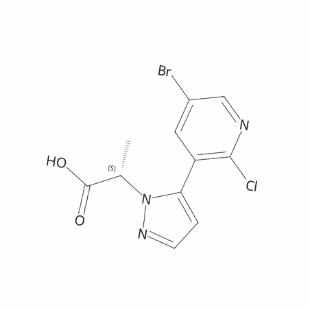 C[C@@H](C(=O)O)n1nccc1-c1cc(Br)cnc1Cl